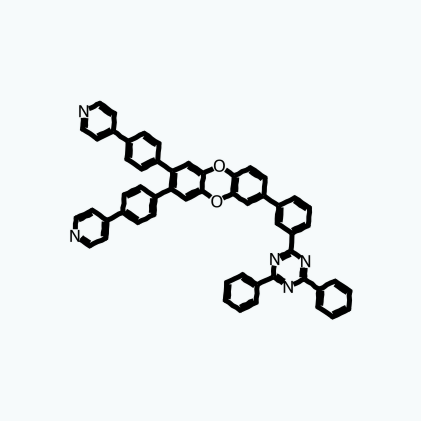 c1ccc(-c2nc(-c3ccccc3)nc(-c3cccc(-c4ccc5c(c4)Oc4cc(-c6ccc(-c7ccncc7)cc6)c(-c6ccc(-c7ccncc7)cc6)cc4O5)c3)n2)cc1